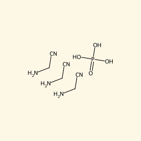 N#CCN.N#CCN.N#CCN.O=P(O)(O)O